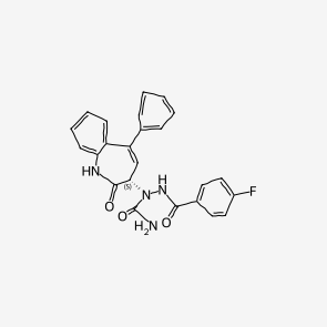 NC(=O)N(NC(=O)c1ccc(F)cc1)[C@H]1C=C(c2ccccc2)c2ccccc2NC1=O